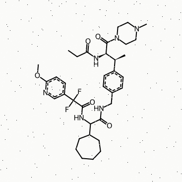 CCC(=O)N[C@@H](C(=O)N1CCN(C)CC1)[C@@H](C)c1ccc(CNC(=O)C(NC(=O)C(F)(F)c2ccc(OC)nc2)C2CCCCCC2)cc1